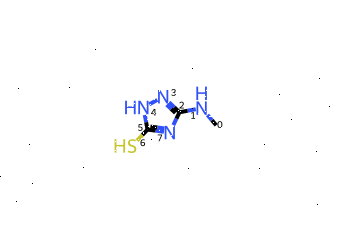 CNc1n[nH]c(S)n1